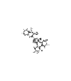 O=c1[nH]c2ccccc2cc1-c1nc2c3ccccc3c3ccccc3c2[nH]1